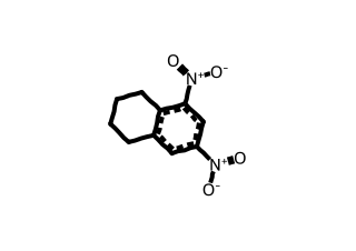 O=[N+]([O-])c1cc2c(c([N+](=O)[O-])c1)CCCC2